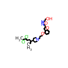 C=C(Cl)/C(Cl)=C/C/C(=C\C)C1CCN(CCCOc2cccc3oc(-c4nnc(CO)o4)cc23)CC1